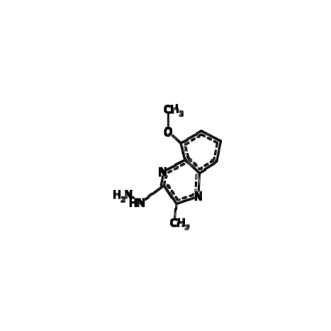 COc1cccc2nc(C)c(NN)nc12